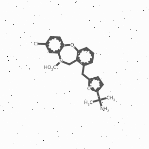 CC(C)(N)c1ccc(Cc2cccc3c2CN(C(=O)O)c2cc(Cl)ccc2O3)o1